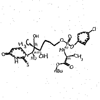 CCCCOC(=O)[C@H](C)N[P@](=O)(OCC[C@H](O)[C@@](C)(O)[C@@H](O)n1ccc(=O)[nH]c1=S)Oc1ccc(Cl)cc1